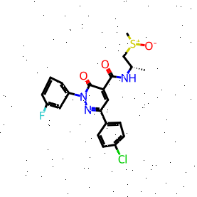 C[C@@H](C[S+](C)[O-])NC(=O)c1cc(-c2ccc(Cl)cc2)nn(-c2cccc(F)c2)c1=O